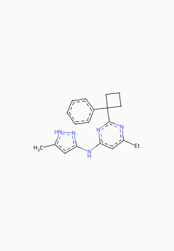 CCc1cc(Nc2cc(C)[nH]n2)nc(C2(c3ccccc3)CCC2)n1